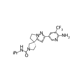 CC(C)NC(=O)N1CC[C@@]2(CCn3nc(-c4cnc(N)c(C(F)(F)F)c4)cc32)C1